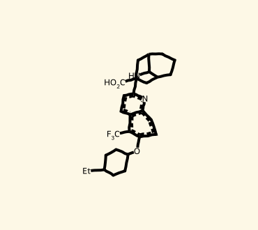 CCC1CCC(Oc2ccc3nc(NC4C5CCCC4CC(C(=O)O)C5)ccc3c2C(F)(F)F)CC1